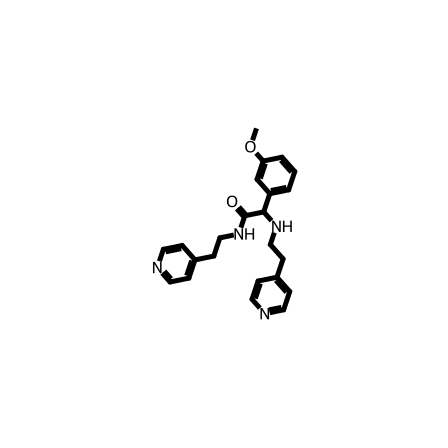 COc1cccc(C(NCCc2ccncc2)C(=O)NCCc2ccncc2)c1